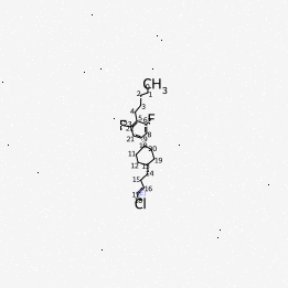 CCCCCc1c(F)cc([C@H]2CC[C@H](CC/C=C/Cl)CC2)cc1F